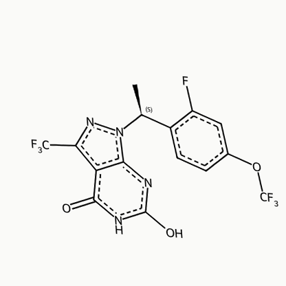 C[C@@H](c1ccc(OC(F)(F)F)cc1F)n1nc(C(F)(F)F)c2c(=O)[nH]c(O)nc21